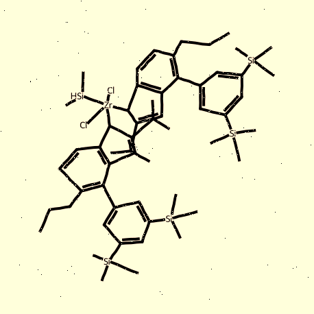 CCCc1ccc2c(c1-c1cc([Si](C)(C)C)cc([Si](C)(C)C)c1)C=C(C(C)C)[CH]2[Zr]([Cl])([Cl])([CH]1C(C(C)C)=Cc2c1ccc(CCC)c2-c1cc([Si](C)(C)C)cc([Si](C)(C)C)c1)[SiH](C)C